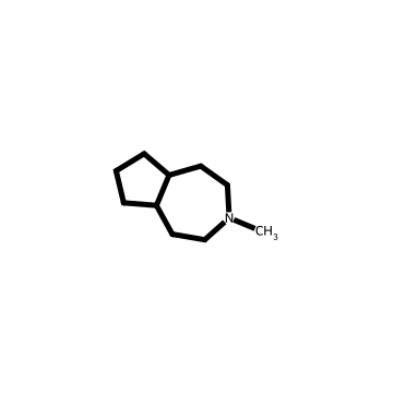 CN1CCC2CCCC2CC1